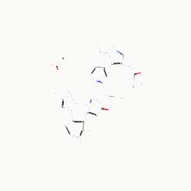 C[C@@H]1CCC[C@H](n2cnc(-c3c(-n4cc(Cl)nn4)ccc(Cl)c3F)cc2=O)c2cc(ccn2)-c2c(cnn2CC(=O)O)NC1=O.O=C(O)C(F)(F)F